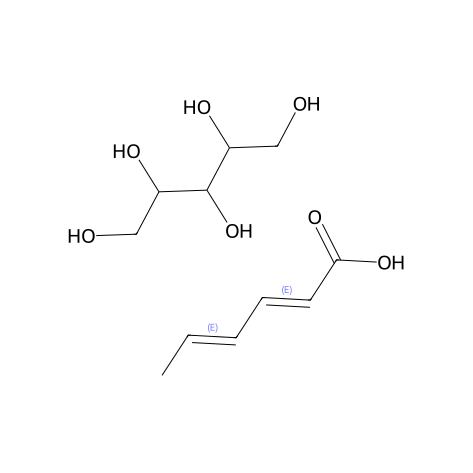 C/C=C/C=C/C(=O)O.OCC(O)C(O)C(O)CO